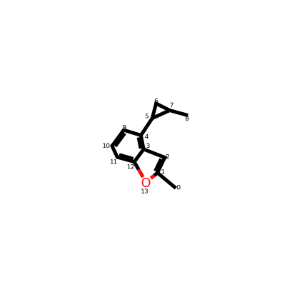 Cc1cc2c(C3CC3C)cccc2o1